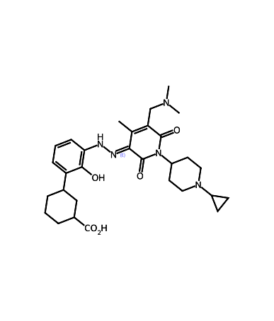 CC1=C(CN(C)C)C(=O)N(C2CCN(C3CC3)CC2)C(=O)/C1=N/Nc1cccc(C2CCCC(C(=O)O)C2)c1O